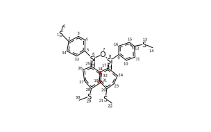 CSc1ccc([SiH](O[SiH](c2ccc(SC)cc2)c2ccc(SC)cc2)c2ccc(SC)cc2)cc1